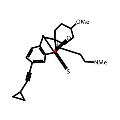 CNCCN1C(=O)C2(NC1=S)c1cc(C#CC3CC3)ccc1CC21CCC(OC)CC1